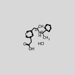 C[C@H](Cc1cccc(CC(=O)O)c1)N[C@H](C)c1ccccc1.Cl